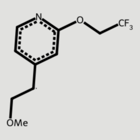 COC[CH]c1ccnc(OCC(F)(F)F)c1